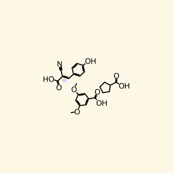 COc1cc(OC)cc(C(=O)O)c1.N#C/C(=C\c1ccc(O)cc1)C(=O)O.O=C(O)C1CCCC1